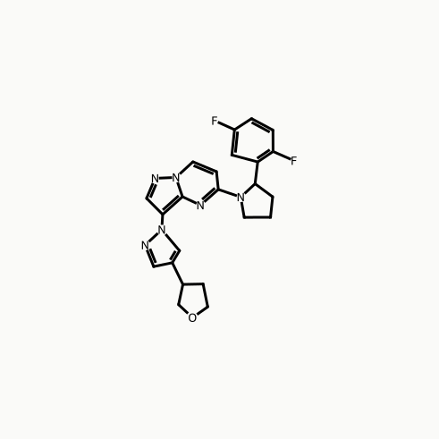 Fc1ccc(F)c(C2CCCN2c2ccn3ncc(-n4cc(C5CCOC5)cn4)c3n2)c1